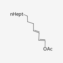 CCCCCCCCCCC=CC=COC(C)=O